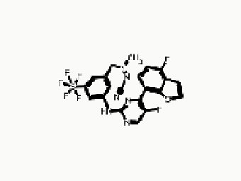 CS(Cc1cc(Nc2ncc(F)c(-c3ccc(F)c4ccoc34)n2)cc(S(F)(F)(F)(F)F)c1)=NC#N